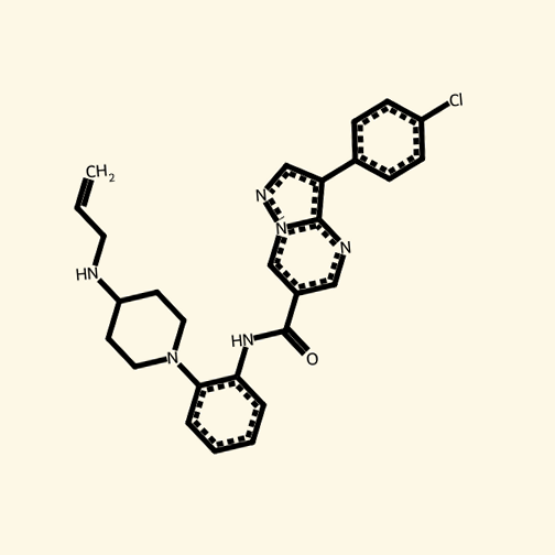 C=CCNC1CCN(c2ccccc2NC(=O)c2cnc3c(-c4ccc(Cl)cc4)cnn3c2)CC1